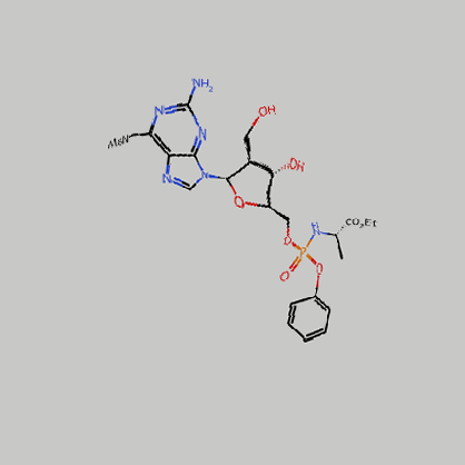 CCOC(=O)[C@H](C)NP(=O)(OC[C@H]1O[C@@H](n2cnc3c(NC)nc(N)nc32)[C@@H](CO)[C@@H]1O)Oc1ccccc1